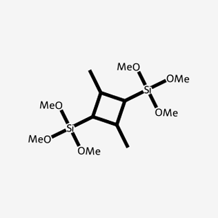 CO[Si](OC)(OC)C1C(C)C([Si](OC)(OC)OC)C1C